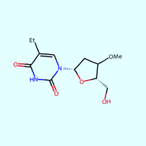 CCc1cn([C@@H]2CC(OC)[C@H](CO)O2)c(=O)[nH]c1=O